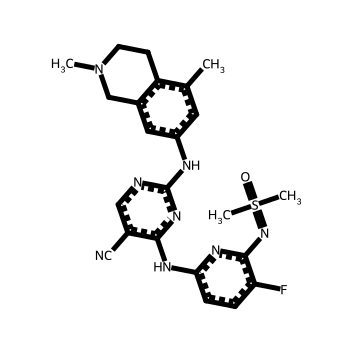 Cc1cc(Nc2ncc(C#N)c(Nc3ccc(F)c(N=S(C)(C)=O)n3)n2)cc2c1CCN(C)C2